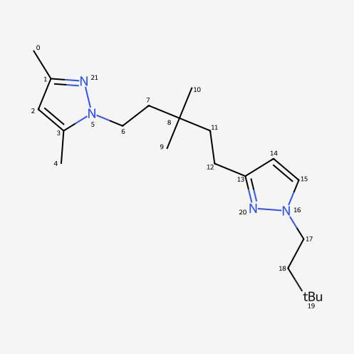 Cc1cc(C)n(CCC(C)(C)CCc2ccn(CCC(C)(C)C)n2)n1